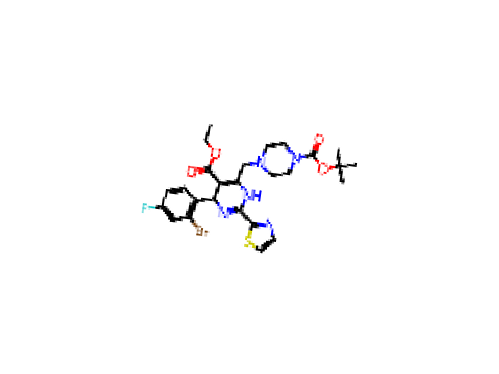 CCOC(=O)C1=C(CN2CCN(C(=O)OC(C)(C)C)CC2)NC(c2nccs2)=NC1c1ccc(F)cc1Br